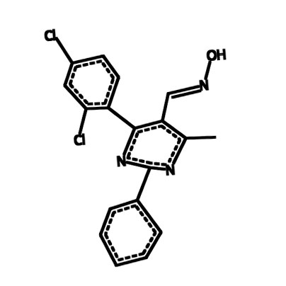 Cc1nc(-c2ccccc2)nc(-c2ccc(Cl)cc2Cl)c1C=NO